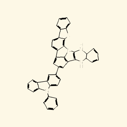 C1=CC2Nc3c(n4c5c3cc(-c3ccc6c(c3)c3ccccc3n6-c3ccccc3)cc5c3ccc5c6ccccc6sc5c34)NC2C=C1